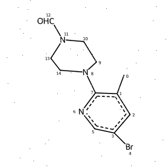 Cc1cc(Br)cnc1N1CCN(C=O)CC1